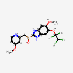 COc1ccnc(C[S+]([O-])c2nc3cc(OC)c(OC(F)(F)C(F)F)cc3[nH]2)c1